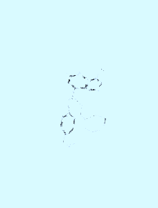 COc1ccc(CN(CCN2CCOCC2)c2cc(C)nn3c(C#N)cnc23)cc1